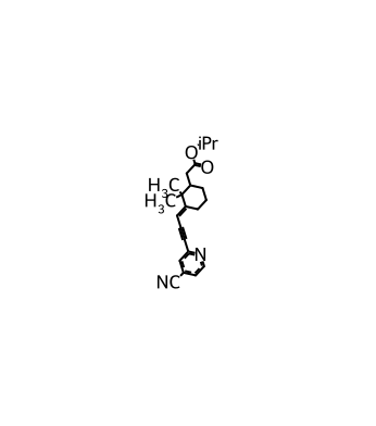 CC(C)OC(=O)CC1CCC/C(=C\C#Cc2cc(C#N)ccn2)C1(C)C